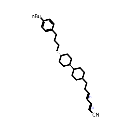 CCCCc1ccc(CCCC[C@H]2CC[C@H](C3CCC(CC/C=C/C=C/C#N)CC3)CC2)cc1